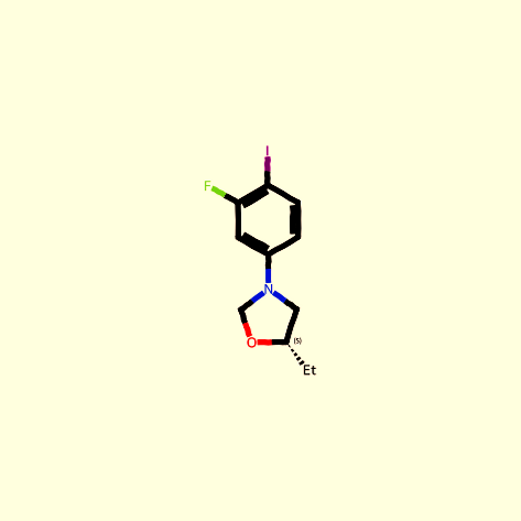 CC[C@H]1CN(c2ccc(I)c(F)c2)CO1